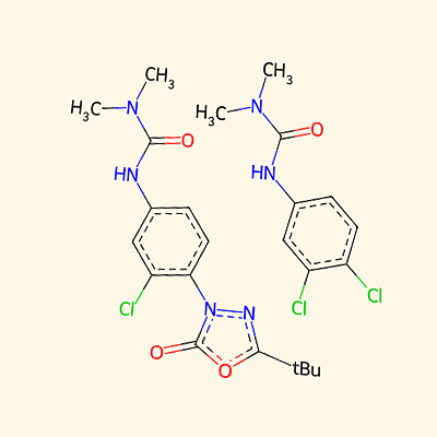 CN(C)C(=O)Nc1ccc(-n2nc(C(C)(C)C)oc2=O)c(Cl)c1.CN(C)C(=O)Nc1ccc(Cl)c(Cl)c1